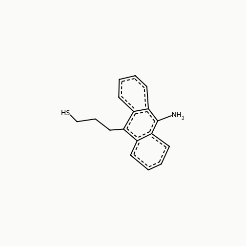 Nc1c2ccccc2c(CCCS)c2ccccc12